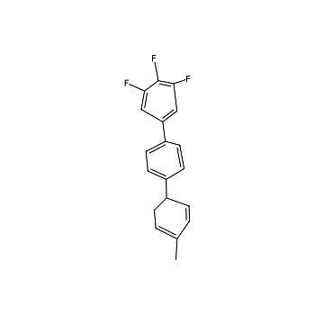 CC1=CCC(c2ccc(-c3cc(F)c(F)c(F)c3)cc2)C=C1